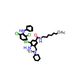 CCN(Cc1cc(C(=O)NCCCCCCOC(C)=O)cc(Br)c1N)C1CCCCC1.Clc1cccc(Cl)c1Nc1ccccc1